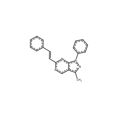 Cc1nn(-c2ccccc2)c2nc(C=Cc3ccccc3)ncc12